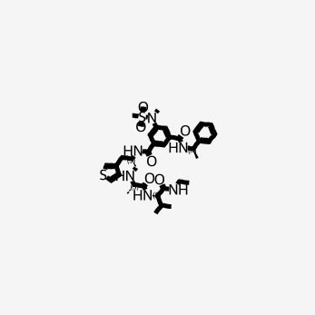 CCNC(=O)[C@@H](NC(=O)[C@H](C)NC[C@H](Cc1ccsc1)NC(=O)c1cc(C(=O)N[C@H](C)c2ccccc2)cc(N(C)S(C)(=O)=O)c1)C(C)C